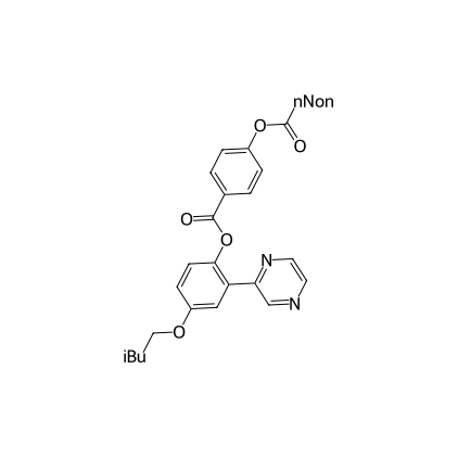 CCCCCCCCCC(=O)Oc1ccc(C(=O)Oc2ccc(OCC(C)CC)cc2-c2cnccn2)cc1